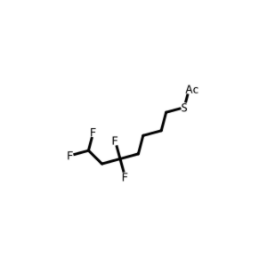 CC(=O)SCCCCC(F)(F)CC(F)F